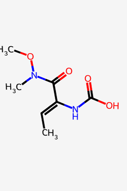 CC=C(NC(=O)O)C(=O)N(C)OC